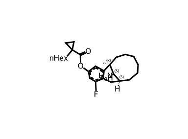 CCCCCCC1(C(=O)Oc2cc(F)c3c(c2)[C@@]2(C)CCCCCC[C@@H](C3)[C@@H]2N)CC1